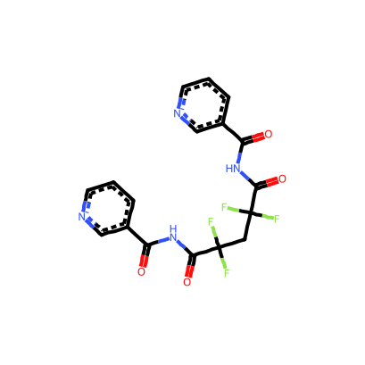 O=C(NC(=O)C(F)(F)CC(F)(F)C(=O)NC(=O)c1cccnc1)c1cccnc1